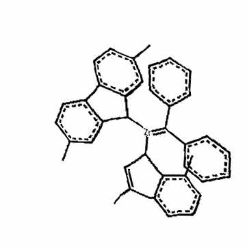 CC1=C[CH]([Zr](=[C](c2ccccc2)c2ccccc2)[CH]2c3cc(C)ccc3-c3ccc(C)cc32)c2c(C)cccc21